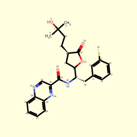 CC(C)(O)CC[C@@H]1CC([C@H](Cc2cccc(F)c2)NC(=O)c2cnc3ccccc3n2)OC1=O